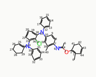 CC1=C(O/C(C)=N/c2ccc(N(c3ccccc3)c3cccc(N(C4=CCCCC4)c4ccccc4)c3Cl)cc2C)CCC=C1